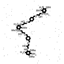 CSc1cc(C)c(NCC(O)COCC2CCC(COCC(O)CNc3c(C)cc(SC)c(NCC(O)COCC4CCC(COCC(O)CNc5c(C)cc(SC)c(N)c5SC)CC4)c3SC)CC2)c(SC)c1N